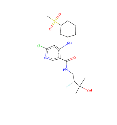 CC(C)(O)[C@H](F)CNC(=O)c1cnc(Cl)cc1NC1CCCC(S(C)(=O)=O)C1